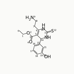 CCOC(=O)C1=C(CCN)NC(=S)NC1c1cccc(O)c1